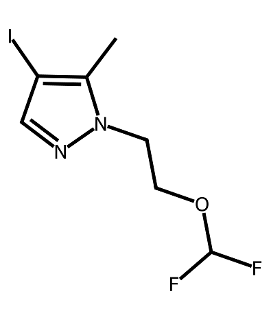 Cc1c(I)cnn1CCOC(F)F